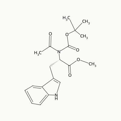 COC(=O)[C@H](Cc1c[nH]c2ccccc12)N(C(C)=O)C(=O)OC(C)(C)C